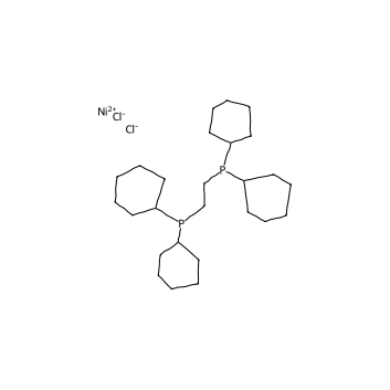 C1CCC(P(CCP(C2CCCCC2)C2CCCCC2)C2CCCCC2)CC1.[Cl-].[Cl-].[Ni+2]